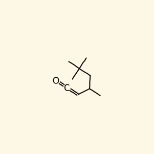 CC(C=C=O)CC(C)(C)C